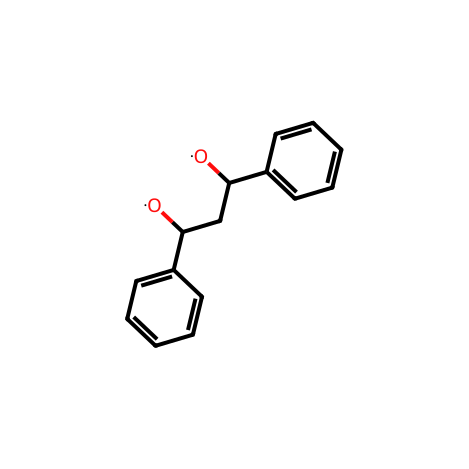 [O]C(CC([O])c1ccccc1)c1ccccc1